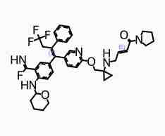 N=C(F)c1cc(/C(=C(\CC(F)(F)F)c2ccccc2)c2ccc(OCC3(NC/C=C/C(=O)N4CCCC4)CC3)nc2)ccc1NC1CCCCO1